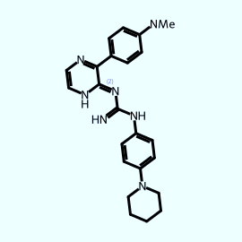 CNc1ccc(-c2ncc[nH]/c2=N\C(=N)Nc2ccc(N3CCCCC3)cc2)cc1